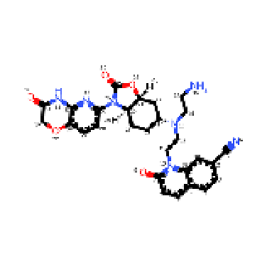 N#Cc1ccc2ccc(=O)n(CCN(CCN)[C@@H]3CC[C@@H]4[C@@H](C3)OC(=O)N4c3ccc4c(n3)NC(=O)CO4)c2c1